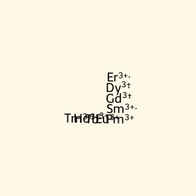 [Dy+3].[Er+3].[Eu+3].[Gd+3].[Ho+3].[Pm+3].[Sm+3].[Tb+3].[Tm+3]